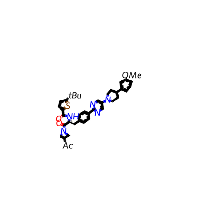 COc1cccc(C2CCN(c3cnc(-c4ccc(C[C@H](NC(=O)c5ccc(C(C)(C)C)s5)C(=O)N5CC(C(C)=O)C5)cc4)nc3)CC2)c1